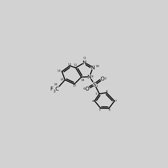 O=S(=O)(c1ccccc1)n1nnc2ccc(C(F)(F)F)cc21